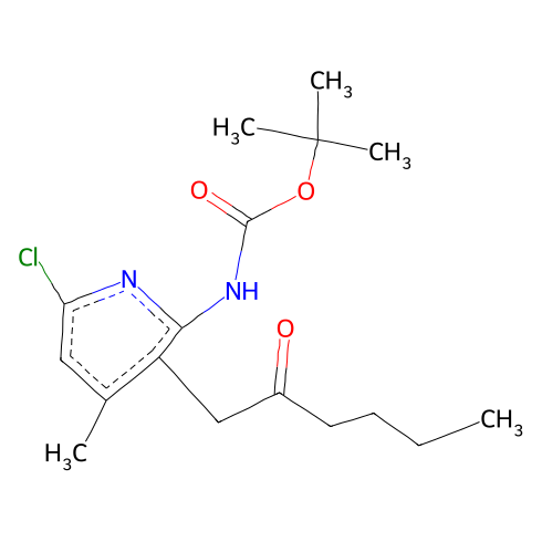 CCCCC(=O)Cc1c(C)cc(Cl)nc1NC(=O)OC(C)(C)C